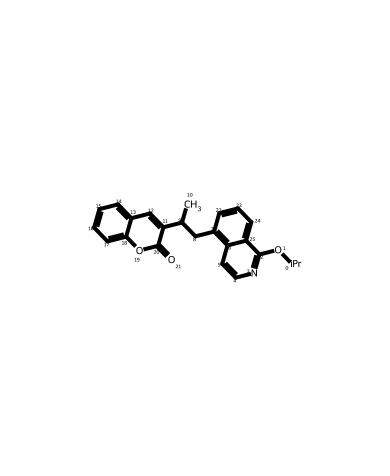 CC(C)Oc1nccc2c(CC(C)c3cc4ccccc4oc3=O)cccc12